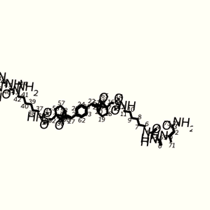 C=C(NC(=O)NCCCCCCNS(=O)(=O)CC12CCC(/C(=C\c3ccc(/C=C4/C(=O)C5(CS(=O)(=O)NCCCCCCN(N)C(=O)Nc6nc(=O)cc(C)[nH]6)CCC4C5(C)C)cc3)C1=O)C2(C)C)N/C(C)=C\C(N)=O